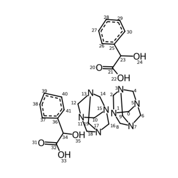 C1N2CN3CN1CN(C2)C3.C1N2CN3CN1CN(C2)C3.O=C(O)C(O)c1ccccc1.O=C(O)C(O)c1ccccc1